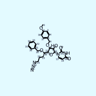 COc1ccc(CO[C@@H]2C(O)[C@H](n3ccc(=O)[nH]c3=O)O[C@@H]2[C@@H](CCCN=[N+]=[N-])OCc2ccccc2)cc1